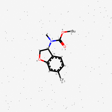 CN(C(=O)OC(C)(C)C)[C@@H]1COc2cc(C(F)(F)F)ccc21